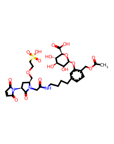 CC(=O)OCc1ccc(CCCCNC(=O)CN2C(=O)[C@@H](N3C(=O)C=CC3=O)C[C@H]2COCCS(=O)(=O)O)cc1O[C@@H]1O[C@H](C(=O)O)[C@@H](O)[C@H](O)[C@H]1O